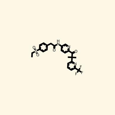 CCS(=O)(=O)c1ccc(CC(=O)Nc2ccc(C(=O)C(C)(C)c3cccc(C(F)(F)F)n3)nc2)cc1